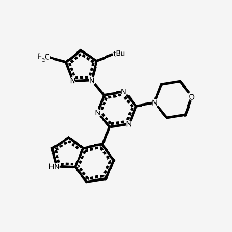 CC(C)(C)c1cc(C(F)(F)F)nn1-c1nc(-c2cccc3[nH]ccc23)nc(N2CCOCC2)n1